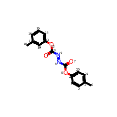 Cc1ccc(OC(=O)/N=N/C(=O)Oc2cccc(C)c2)cc1